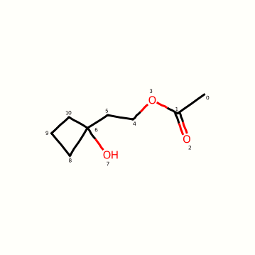 CC(=O)OCCC1(O)CCC1